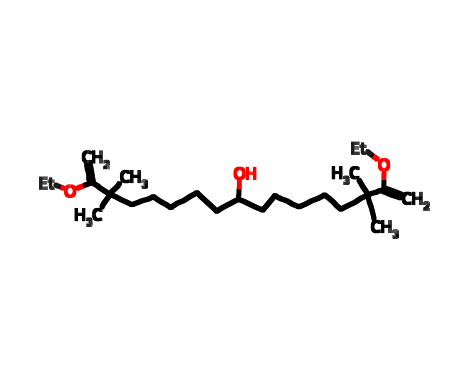 C=C(OCC)C(C)(C)CCCCCC(O)CCCCCC(C)(C)C(=C)OCC